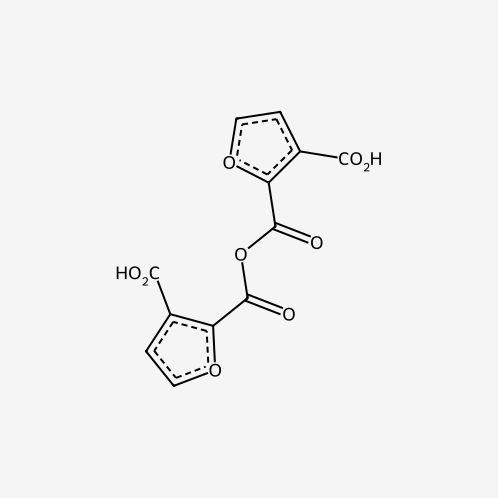 O=C(O)c1ccoc1C(=O)OC(=O)c1occc1C(=O)O